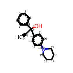 C#CC(O)(c1ccccc1)c1ccc(N2CCCCC2)cc1